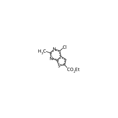 CCOC(=O)c1cc2c(Cl)nc(C)nc2s1